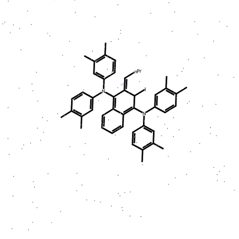 CCC/C=C1/C(N(c2ccc(C)c(C)c2)c2ccc(C)c(C)c2)=c2ccccc2=C(N(c2ccc(C)c(C)c2)c2ccc(C)c(C)c2)C1I